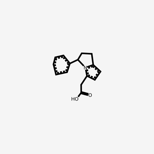 O=C(O)Cc1ccc2n1C(c1ccccc1)CC2